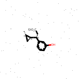 CCOC(=O)C[C@H](c1cccc(O)c1)[C@H]1C[C@@H]1C